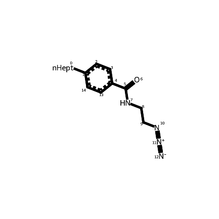 CCCCCCCc1ccc(C(=O)NCCN=[N+]=[N-])cc1